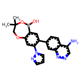 CC1(C)COc2cc(-n3cccn3)c(-c3ccc4c(N)cnnc4c3)cc2B(O)O1